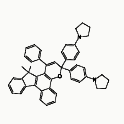 CC1(C)c2ccccc2-c2c1c1c(c3ccccc23)OC(c2ccc(N3CCCC3)cc2)(c2ccc(N3CCCC3)cc2)C=C1c1ccccc1